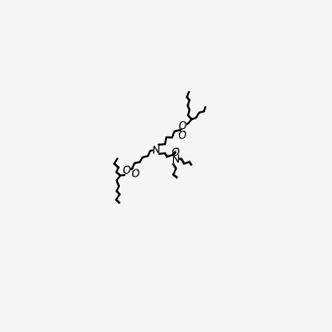 CCCCCCC(CCCC)COC(=O)CCCCCN(CCCCCC(=O)OCC(CCCC)CCCCCC)CCCC(=O)N(CCCC)CCCC